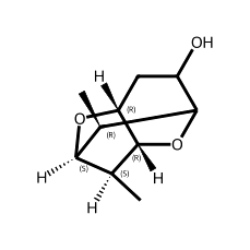 C[C@@H]1[C@H]2OC3C(O)C[C@H]2O[C@H]1[C@H]3C